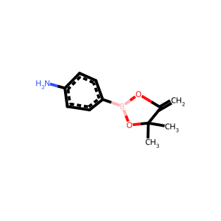 C=C1OB(c2ccc(N)cc2)OC1(C)C